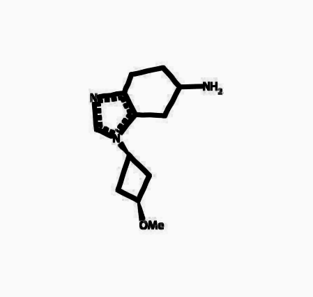 CO[C@H]1C[C@@H](n2cnc3c2CC(N)CC3)C1